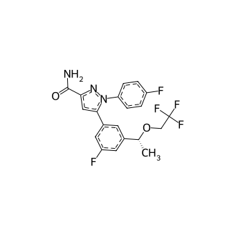 C[C@@H](OCC(F)(F)F)c1cc(F)cc(-c2cc(C(N)=O)nn2-c2ccc(F)cc2)c1